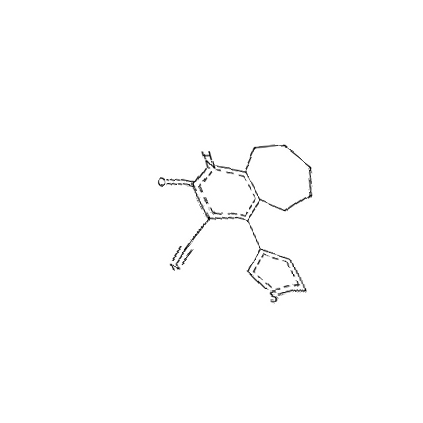 N#Cc1c(-c2ccsc2)c2c([nH]c1=O)CCCCC2